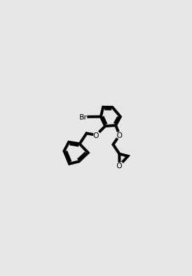 Brc1cccc(OCC2CO2)c1OCc1ccccc1